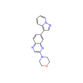 c1ccn2ncc(-c3ccc4ncc(N5CCOCC5)nc4c3)c2c1